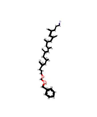 CC(CCCI)CC(C)CC(C)CC(C)CC(C)CC(C)CC(C)CCCOCOCc1ccccc1